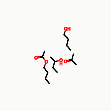 CC(C)=O.CCC(C)O.CCCCO.CCCCOC(C)=O